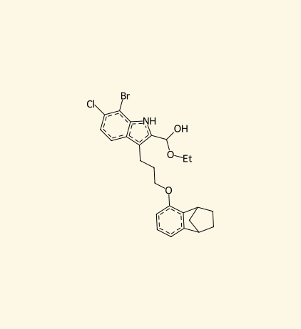 CCOC(O)c1[nH]c2c(Br)c(Cl)ccc2c1CCCOc1cccc2c1C1CCC2C1